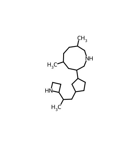 CC1CCC(C)CC(C2CCC(CC(C)C3CCN3)C2)CNC1